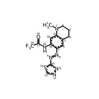 CN1CCCc2cc(N=Nc3nncs3)c(NC(=O)C(F)(F)F)cc21